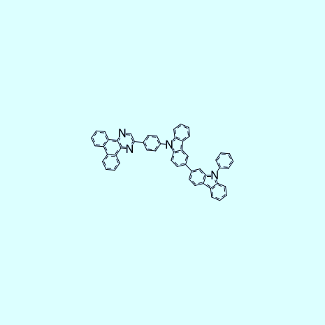 c1ccc(-n2c3ccccc3c3ccc(-c4ccc5c(c4)c4ccccc4n5-c4ccc(-c5cnc6c7ccccc7c7ccccc7c6n5)cc4)cc32)cc1